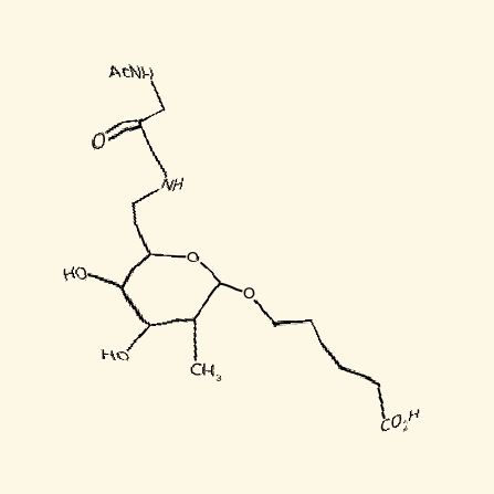 CC(=O)NCC(=O)NCC1OC(OCCCCC(=O)O)C(C)C(O)C1O